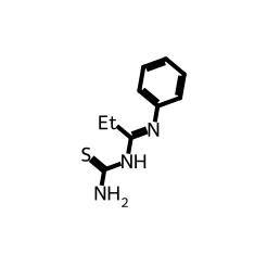 CC/C(=N\c1ccccc1)NC(N)=S